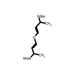 CNC(C)C=COC=CC(C)NC